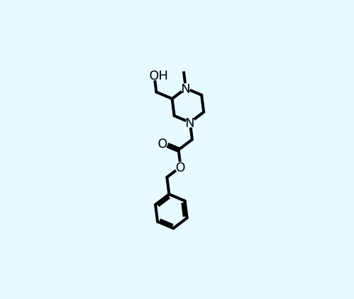 CN1CCN(CC(=O)OCc2ccccc2)CC1CO